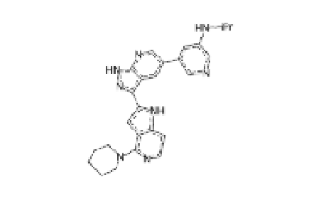 CC(C)Nc1cncc(-c2cnc3[nH]nc(-c4cc5c(N6CCCCC6)nccc5[nH]4)c3c2)c1